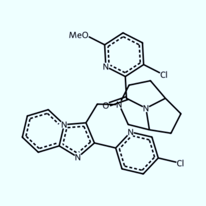 COc1ccc(Cl)c(C(=O)N2C3CCC2CN(Cc2c(-c4ccc(Cl)cn4)nc4ccccn24)CC3)n1